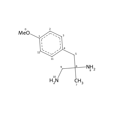 COc1ccc(CC(C)(N)CN)cc1